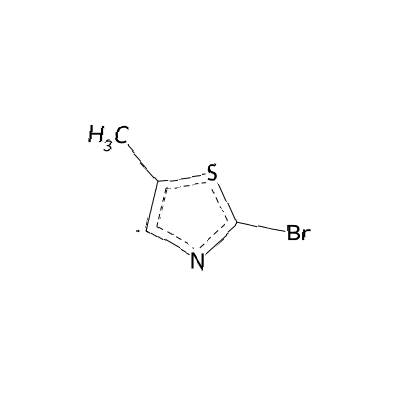 Cc1[c]nc(Br)s1